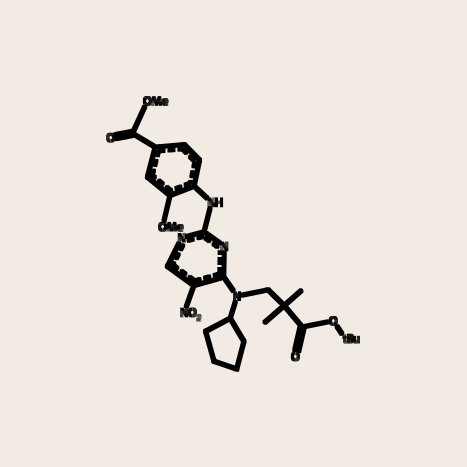 COC(=O)c1ccc(Nc2ncc([N+](=O)[O-])c(N(CC(C)(C)C(=O)OC(C)(C)C)C3CCCC3)n2)c(OC)c1